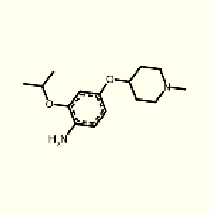 CC(C)Oc1cc(OC2CCN(C)CC2)ccc1N